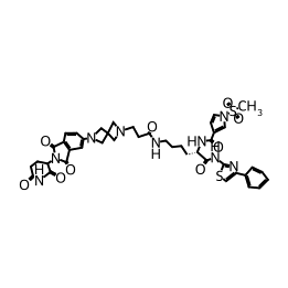 CS(=O)(=O)n1ccc(C(=O)N[C@@H](CCCCNC(=O)CCN2CC3(C2)CN(c2ccc4c(c2)C(=O)N(C2CCC(=O)NC2=O)C4=O)C3)C(=O)Nc2nc(-c3ccccc3)cs2)c1